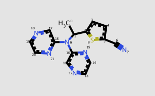 CC(c1ccc(C#N)s1)N(c1cnccn1)c1cnccn1